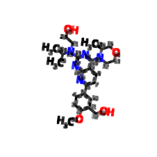 COc1ccc(-c2ccc3c(N4CCOC[C@@H]4C)nc(N(CCO)C(C)C)nc3n2)cc1CO